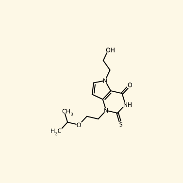 CC(C)OCCn1c(=S)[nH]c(=O)c2c1ccn2CCO